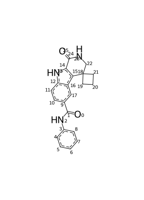 O=C(Nc1ccccc1)c1ccc2[nH]c3c(c2c1)C1(CCC1)CNC3=O